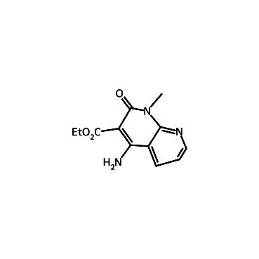 CCOC(=O)c1c(N)c2cccnc2n(C)c1=O